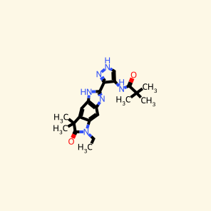 CCN1C(=O)C(C)(C)c2cc3[nH]c(-c4n[nH]cc4NC(=O)C(C)(C)C)nc3cc21